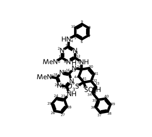 CNc1nc(Nc2ccccc2)nc(NC2(Nc3nc(NC)nc(Nc4ccccc4)n3)C=CC(C=Cc3ccccc3)C(S(=O)(=O)O)(S(=O)(=O)O)C2)n1